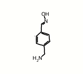 NCc1c[c]c(C=NO)cc1